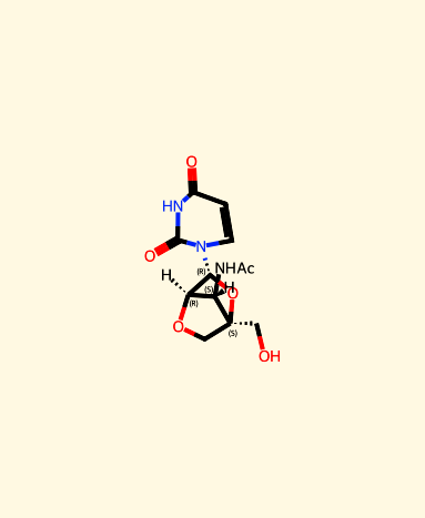 CC(=O)N[C@H]1[C@H]2OC[C@]1(CO)O[C@H]2n1ccc(=O)[nH]c1=O